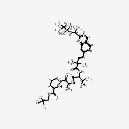 CC(NC(=O)C(NC(=O)C(C)(C)C=Cc1ccc2cnc(C(C)O[Si](C)(C)C(C)(C)C)nc2c1)C(C)C)C(=O)N1CCCC(C(=O)OCC(Cl)(Cl)Cl)N1